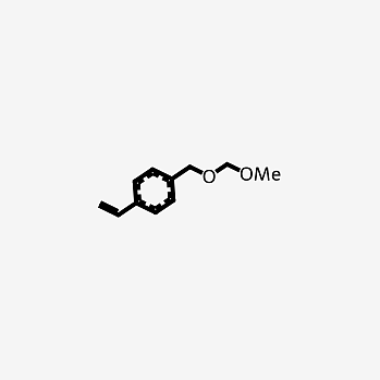 C=Cc1ccc(COCOC)cc1